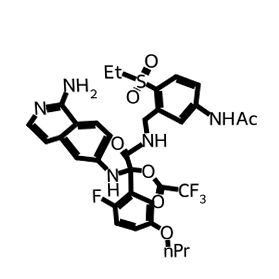 CCCOc1ccc(F)c(C(Nc2ccc3c(N)nccc3c2)(OC(=O)C(F)(F)F)C(=O)NCc2cc(NC(C)=O)ccc2S(=O)(=O)CC)c1